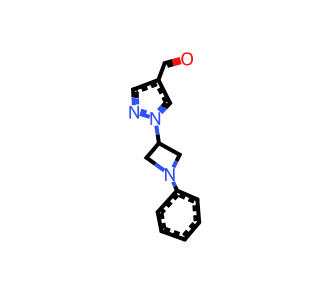 O=Cc1cnn(C2CN(c3ccccc3)C2)c1